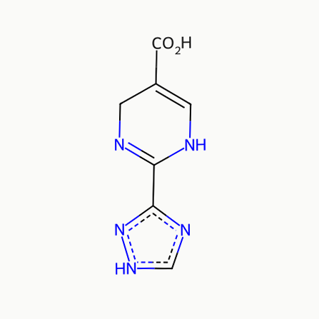 O=C(O)C1=CNC(c2nc[nH]n2)=NC1